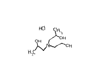 CC(O)CN(CCO)CC(C)O.Cl